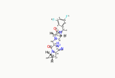 CC(c1cc(F)cc(F)c1)N1C(=O)[C@@H]2C[C@@H]1CN2CC(N)C(=O)N1C(C#N)C[C@@H]2C[C@@H]21